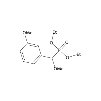 CCOP(=O)(OCC)C(OC)c1cccc(OC)c1